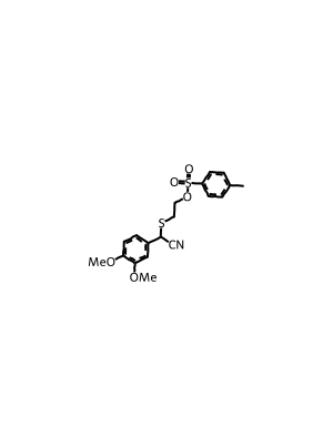 COc1ccc(C(C#N)SCCOS(=O)(=O)c2ccc(C)cc2)cc1OC